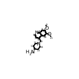 COc1cc2nccc(CN3CCC(N)CC3)c2cc1OC